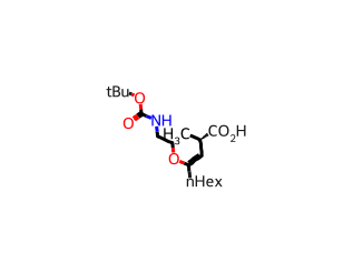 CCCCCCC(=C[C@@H](C)C(=O)O)OCCNC(=O)OC(C)(C)C